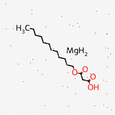 CCCCCCCCCCCCOC(=O)CC(=O)O.[MgH2]